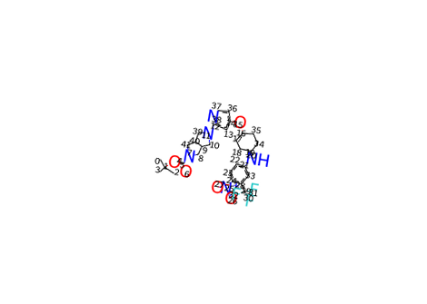 CC(C)(C)OC(=O)N1CC2CN(c3cc(O[C@H]4CC[C@H](Nc5ccc([N+](=O)[O-])c(C(F)(F)F)c5)CC4)ccn3)CC2C1